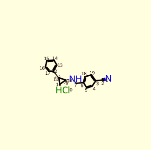 Cl.N#Cc1ccc(CN[C@@H]2C[C@H]2c2ccccc2)cc1